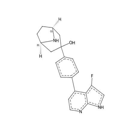 OC1(c2ccc(-c3ccnc4[nH]cc(F)c34)cc2)C[C@H]2CC[C@@H](C1)N2